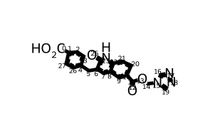 O=C(O)c1ccc(Cc2cc3cc(C(=O)OCn4cnnc4)ccc3[nH]c2=O)cc1